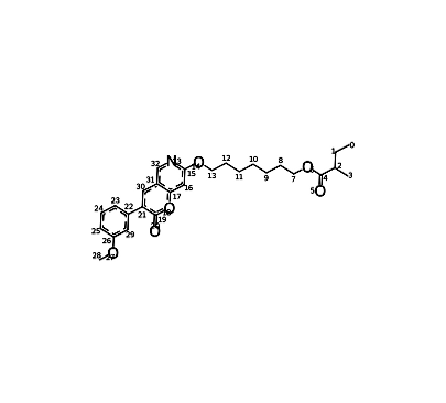 CCC(C)C(=O)OCCCCCCCOc1cc2oc(=O)c(-c3cccc(OC)c3)cc2cn1